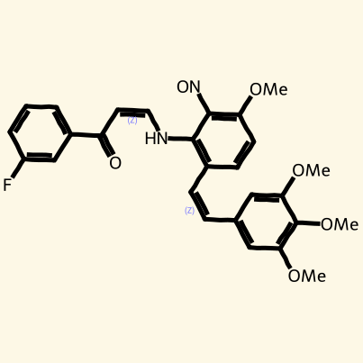 COc1ccc(/C=C\c2cc(OC)c(OC)c(OC)c2)c(N/C=C\C(=O)c2cccc(F)c2)c1N=O